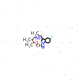 C=C(OC)C(C)CN[C@H](C)Cc1c[nH]c2ccc(F)cc12